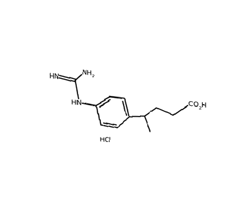 CC(CCC(=O)O)c1ccc(NC(=N)N)cc1.Cl